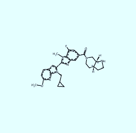 COc1ccc2cc(-c3nc4cc(C(=O)N5CC[C@H]6CCN[C@H]6C5)cc(F)c4n3C)n(CC3CC3)c2n1